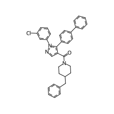 O=C(c1cnn(-c2cccc(Cl)c2)c1-c1ccc(-c2ccccc2)cc1)N1CCC(Cc2ccccc2)CC1